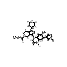 CNC(=O)N1CCc2c(c(N3C[C@H](C)N(C)c4cc(-c5cnn(C)c5)c(C#N)cc43)nn2C2CCOCC2)C1